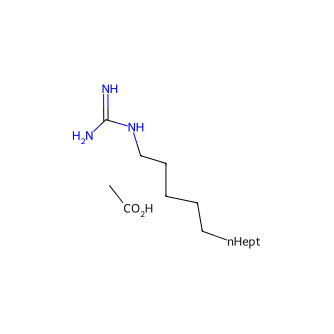 CC(=O)O.CCCCCCCCCCCCNC(=N)N